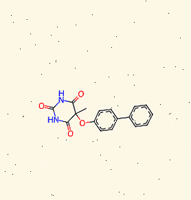 CC1(Oc2ccc(-c3ccccc3)cc2)C(=O)NC(=O)NC1=O